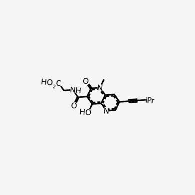 CC(C)C#Cc1cnc2c(O)c(C(=O)NCC(=O)O)c(=O)n(C)c2c1